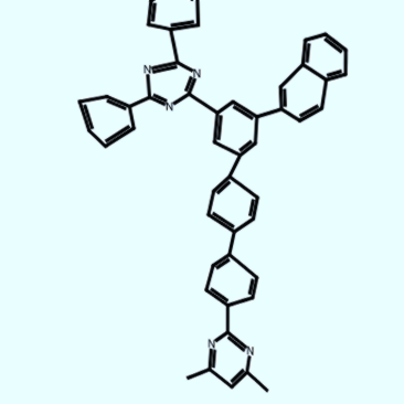 Cc1cc(C)nc(-c2ccc(-c3ccc(-c4cc(-c5ccc6ccccc6c5)cc(-c5nc(-c6ccccc6)nc(-c6ccccc6)n5)c4)cc3)cc2)n1